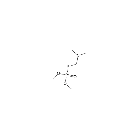 COP(=O)(OC)SCN(C)C